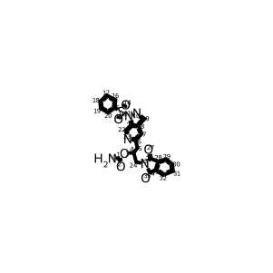 NC(=O)OC(Cc1cc2cnn(S(=O)(=O)c3ccccc3)c2cn1)CN1C(=O)c2ccccc2C1=O